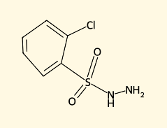 NNS(=O)(=O)c1ccccc1Cl